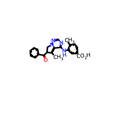 CC1=C2C(Nc3cc(C(=O)O)ccc3C)=NC=NN2CC1C(=O)c1ccccc1